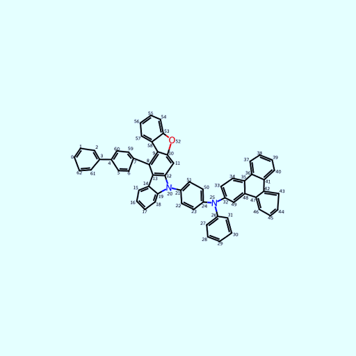 c1ccc(-c2ccc(-c3c4c(cc5c3c3ccccc3n5-c3ccc(N(c5ccccc5)c5ccc6c7ccccc7c7ccccc7c6c5)cc3)oc3ccccc34)cc2)cc1